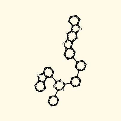 c1ccc(-c2nc(-c3cccc(-c4cccc(-c5ccc6oc7cc8c(cc7c6c5)oc5ccccc58)c4)c3)nc(-c3cccc4oc5ccccc5c34)n2)cc1